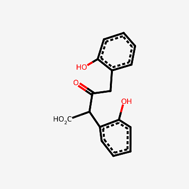 O=C(O)C(C(=O)Cc1ccccc1O)c1ccccc1O